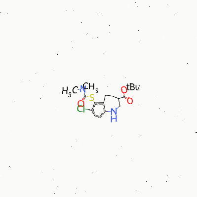 CN(C)C(=O)Sc1c(Cl)ccc2c1CCC(C(=O)OC(C)(C)C)CN2